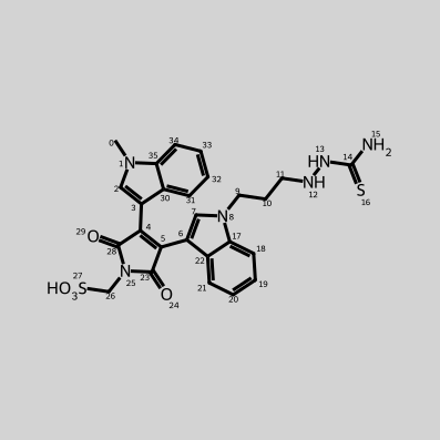 Cn1cc(C2=C(c3cn(CCCNNC(N)=S)c4ccccc34)C(=O)N(CS(=O)(=O)O)C2=O)c2ccccc21